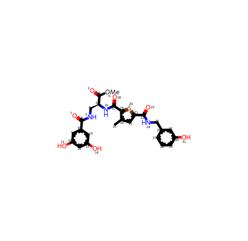 COC(=O)[C@H](CNC(=O)c1cc(O)cc(O)c1)NC(=O)c1sc(C(=O)NCc2cccc(O)c2)cc1C